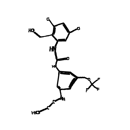 O=C(Nc1cc(NCCO)cc(OC(F)(F)F)c1)Nc1cc(Cl)cc(Cl)c1CO